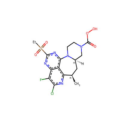 CCS(=O)(=O)c1nc2c3c(nc(Cl)c(F)c3n1)[C@H](C)C[C@@H]1CN(C(=O)OO)CCN21